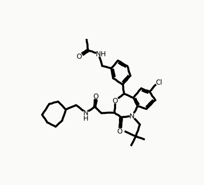 CC(=O)NCc1cccc(C2OC(CC(=O)NCC3CCCCCC3)C(=O)N(CC(C)(C)C)c3ccc(Cl)cc32)c1